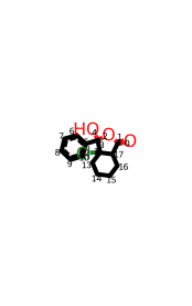 O=C1OC(O)(c2ccccc2)C2(Cl)CCCCC12